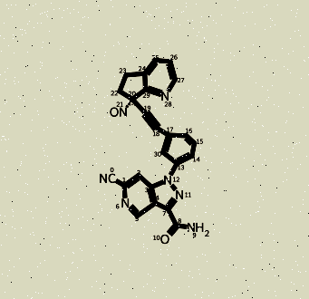 N#Cc1cc2c(cn1)c(C(N)=O)nn2-c1cccc(C#C[C@@]2(N=O)CCc3cccnc32)c1